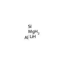 [Al].[LiH].[MgH2].[Si]